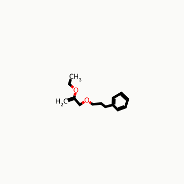 C=C(COCCCc1ccccc1)OCC